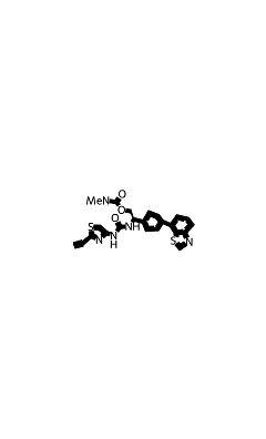 C#Cc1nc(NC(=O)N[C@@H](COC(=O)NC)c2ccc(-c3cccc4ncsc34)cc2)cs1